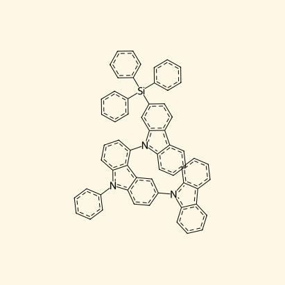 c1ccc(-n2c3ccc(-n4c5ccccc5c5ccccc54)cc3c3c(-n4c5ccccc5c5ccc([Si](c6ccccc6)(c6ccccc6)c6ccccc6)cc54)cccc32)cc1